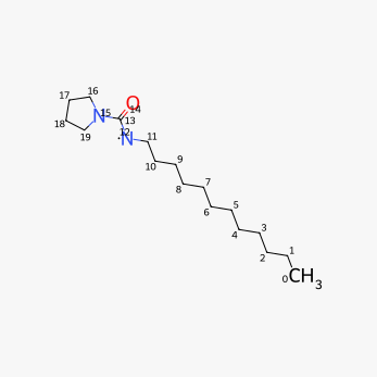 CCCCCCCCCCCC[N]C(=O)N1CCCC1